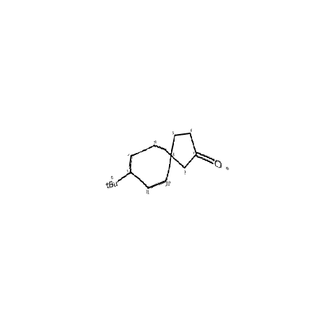 CC(C)(C)C1CCC2(CCC(=O)C2)CC1